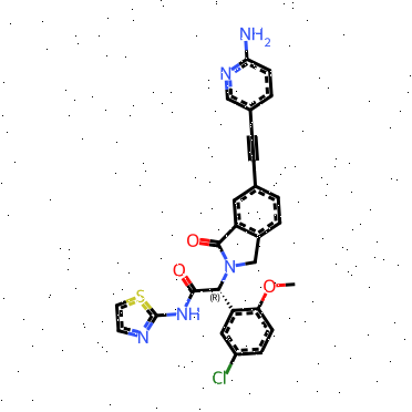 COc1ccc(Cl)cc1[C@H](C(=O)Nc1nccs1)N1Cc2ccc(C#Cc3ccc(N)nc3)cc2C1=O